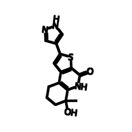 CC1(O)CCCc2c1[nH]c(=O)c1sc(-c3cn[nH]c3)cc21